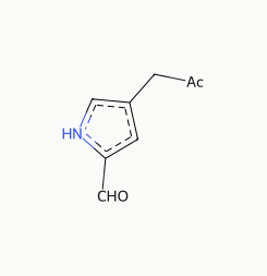 CC(=O)Cc1c[nH]c(C=O)c1